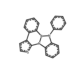 c1ccc(N2B3c4ccccc4-c4ccsc4N3c3ccccc32)cc1